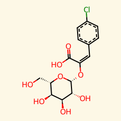 O=C(O)/C(=C\c1ccc(Cl)cc1)O[C@H]1O[C@@H](CO)[C@H](O)[C@H](O)[C@H]1O